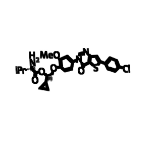 COc1cc(-n2cnc3cc(-c4ccc(Cl)cc4)sc3c2=O)ccc1OC[C@H](OC(=O)[C@@H](N)C(C)C)C1CC1